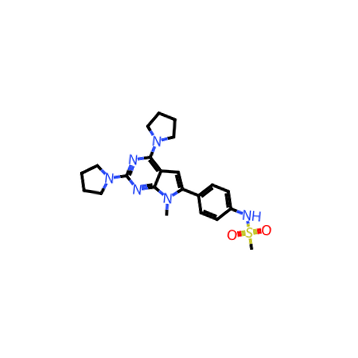 Cn1c(-c2ccc(NS(C)(=O)=O)cc2)cc2c(N3CCCC3)nc(N3CCCC3)nc21